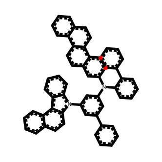 c1ccc(-c2cc(N(c3ccc4c(ccc5c6ccccc6ccc45)c3)c3ccccc3-c3ccccc3)cc(-n3c4ccccc4c4c5ccccc5ccc43)c2)cc1